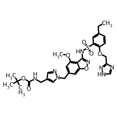 CCc1ccc(OCc2nc[nH]n2)c(S(=O)(=O)Nc2noc3cc(Cn4cc(CNC(=O)OC(C)(C)C)cn4)cc(OC)c23)c1